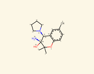 CC1(C)Oc2ccc(C#N)cc2[C@H](N2CCCC2)[C@@]1(N)O